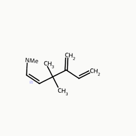 C=CC(=C)C(C)(C)/C=C\NC